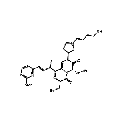 CSc1nccc(/C=C/C(=O)N2O[C@H](CC(C)C)C(=O)N3C2=CN(C2CCN(CCCCO)C2)C(=O)[C@@H]3CC(C)(C)C)n1